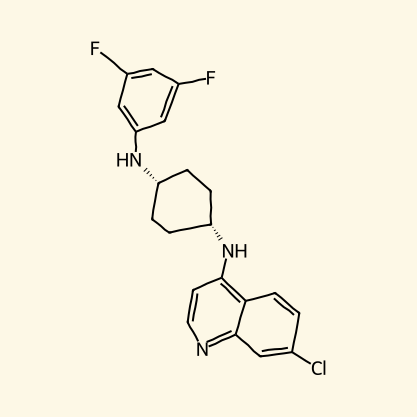 Fc1cc(F)cc(N[C@H]2CC[C@@H](Nc3ccnc4cc(Cl)ccc34)CC2)c1